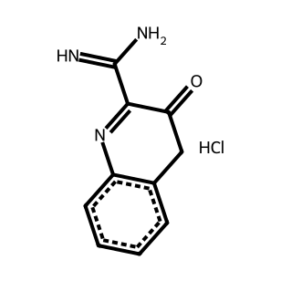 Cl.N=C(N)C1=Nc2ccccc2CC1=O